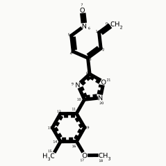 C=C/C=C(\C=C/N=O)c1nc(-c2ccc(C)c(OC)c2)no1